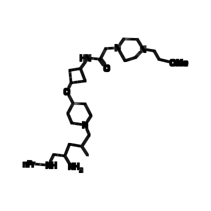 CCCNCC(N)CC(C)CN1CCC(OC2CC(NC(=O)CN3CCN(CCOC)CC3)C2)CC1